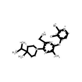 Cc1nc(N2CCC(C)(C(C)N)CC2)c(CO)nc1Sc1ccnc(Br)c1Cl